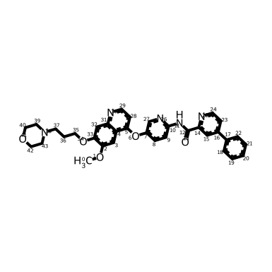 COc1cc2c(Oc3ccc(NC(=O)c4cc(-c5ccccc5)ccn4)nc3)ccnc2cc1OCCCN1CCOCC1